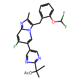 CC(=O)OC(C)(C)c1ncc(-c2cn3c(Cc4ccccc4OC(F)F)c(C)nc3cc2F)cn1